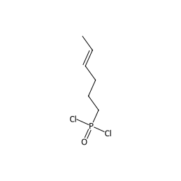 C/C=C/CCCP(=O)(Cl)Cl